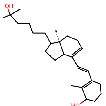 CC1=C(/C=C/C2=CCC[C@]3(C)C(CCCCC(C)(C)O)CCC23)CCCC1O